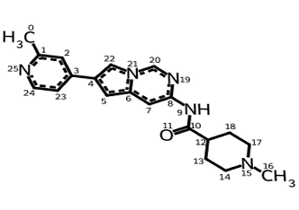 Cc1cc(-c2cc3cc(NC(=O)C4CCN(C)CC4)ncn3c2)ccn1